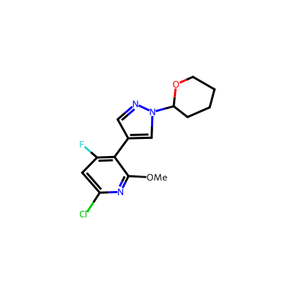 COc1nc(Cl)cc(F)c1-c1cnn(C2CCCCO2)c1